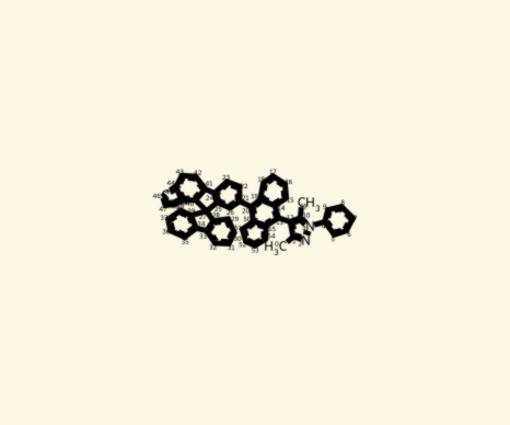 Cc1nn(-c2ccccc2)c(C)c1-c1c2ccccc2c(-c2ccc3c(c2)C2(c4ccccc4-c4ccccc42)c2c-3ccc3ccccc23)c2ccccc12